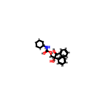 O=C(NC1CCCCC1)OCC(O)(C(=O)c1ccccc1)c1ccccc1